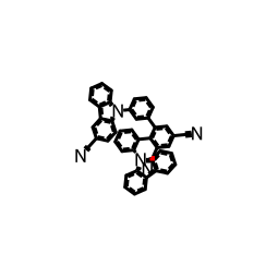 N#Cc1cc(C#N)c(-c2ccccc2-n2c3ccccc3c3ccccc32)c(-c2cccc(-n3c4ccccc4c4cc(C#N)ccc43)c2)c1